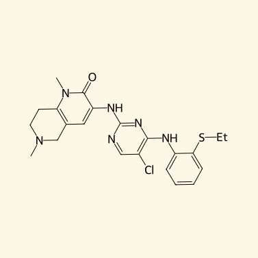 CCSc1ccccc1Nc1nc(Nc2cc3c(n(C)c2=O)CCN(C)C3)ncc1Cl